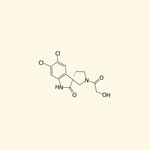 O=C(CO)N1CC[C@]2(C1)C(=O)Nc1cc(Cl)c(Cl)cc12